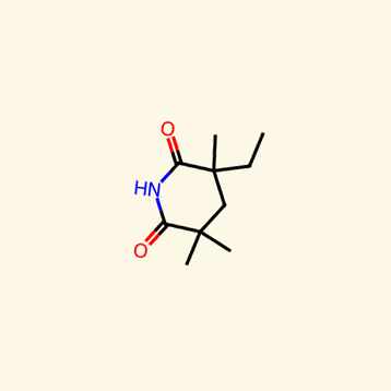 CCC1(C)CC(C)(C)C(=O)NC1=O